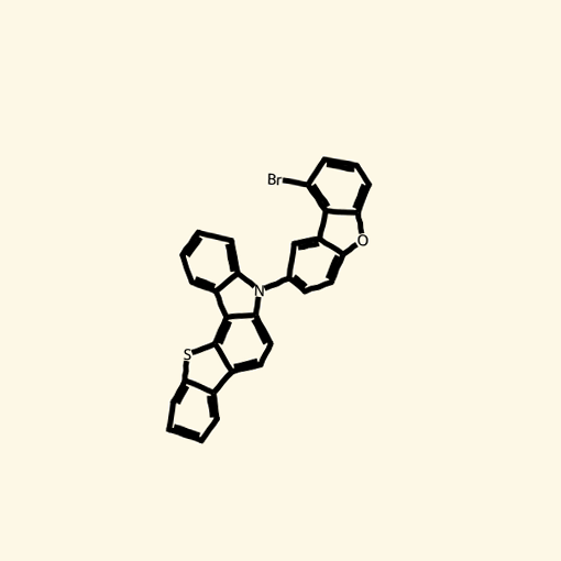 Brc1cccc2oc3ccc(-n4c5ccccc5c5c6sc7ccccc7c6ccc54)cc3c12